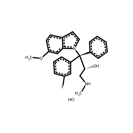 CNC[C@@H](O)[C@](c1ccccc1)(c1cccc(F)c1)n1ccc2ccc(OC)cc21.Cl